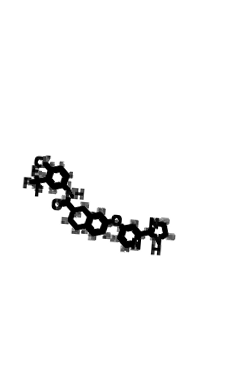 O=C(Nc1ccc(Cl)c(C(F)(F)F)c1)C1CCc2ccc(Oc3ccnc(C4=NCCN4)c3)cc2C1